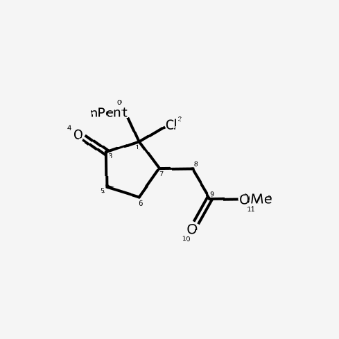 CCCCCC1(Cl)C(=O)CCC1CC(=O)OC